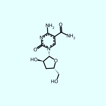 NC(=O)c1cn([C@@H]2O[C@H](CO)C[C@H]2O)c(=O)nc1N